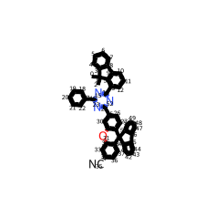 CC1(C)c2ccccc2-c2cccc(-c3nc(-c4ccccc4)nc(-c4ccc5c(c4)Oc4cc(C#N)ccc4C54c5ccccc5-c5ccccc54)n3)c21